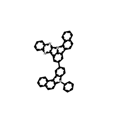 c1ccc(-n2c3ccc(-c4cc5c6ccc7ccccc7c6n6c7nc8ccccc8nc7c(c4)c56)cc3c3c4ccccc4ccc32)cc1